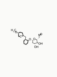 COc1ccc(Cc2ccccc2O[C@H]2C[C@@H](O)[C@H](O)[C@@H](CN=O)O2)cc1